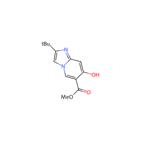 COC(=O)c1cn2cc(C(C)(C)C)nc2cc1O